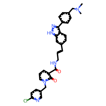 CN(C)Cc1ccc(-c2n[nH]c3cc(C=CCNC(=O)c4cccn(Cc5ccc(Cl)nc5)c4=O)ccc23)cc1